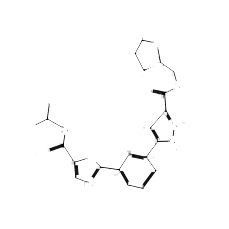 CCC(CC)NC(=O)c1cnc(-c2cccc(-c3cc(C(=O)N[C@@H](C)[C@H]4CCCO4)n[nH]3)c2)o1